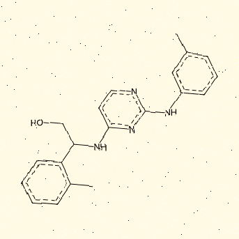 Cc1cccc(Nc2nccc(NC(CO)c3ccccc3C)n2)c1